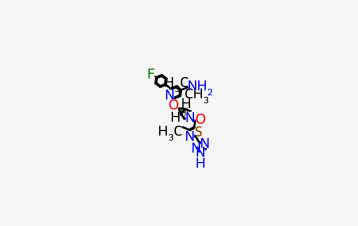 CCc1nc(-c2nc[nH]n2)sc1C(=O)N1C[C@@H]2C(Oc3cc(C(C)(C)N)cc(-c4ccc(F)cc4)n3)[C@@H]2C1